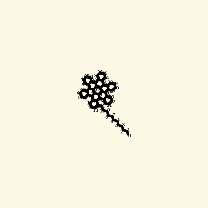 CCCCCCCCCCCCc1cccc2c1c1c3ccccc3c3c4ccccc4c4c5ccccc5c5c6ccccc6c6c7ccccc7c2c2c6c5c4c3c12